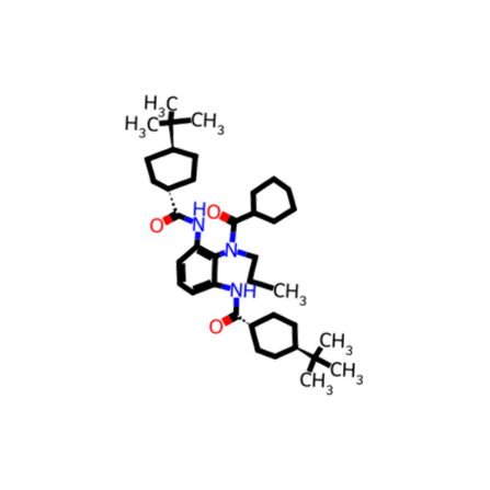 CCCN(C(=O)C1CCCCC1)c1c(NC(=O)[C@H]2CC[C@H](C(C)(C)C)CC2)cccc1NC(=O)[C@H]1CC[C@H](C(C)(C)C)CC1